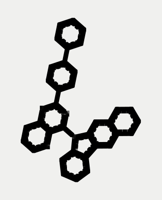 c1ccc(-c2ccc(-c3nc(-n4c5ccccc5c5cc6ccccc6cc54)c4ncccc4n3)cc2)cc1